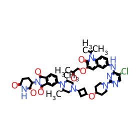 CC(=O)COc1cc2cc(Nc3nc(N4CCC(O[C@H]5C[C@H](N6C[C@@H](C)N(c7ccc8c(c7)C(=O)N(C7CCC(=O)NC7=O)C8=O)[C@H](C)C6)C5)CC4)ncc3Cl)ccc2n(C(C)C)c1=O